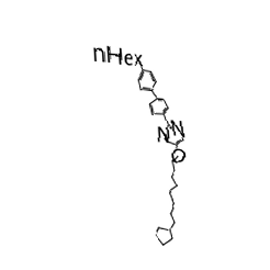 CCCCCCc1ccc(-c2ccc(-c3ncc(OCCCCCCCCC4CCCC4)cn3)cc2)cc1